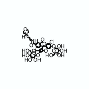 O=C(NCCNN1CCOCC1)c1ccc2c(c1)C(=O)OC21c2cc(Cl)c(O[C@H]3OC(CO)[C@@H](O)[C@@H](O)C3O)cc2Oc2cc(O[C@@H]3OC(CO)[C@H](O)C(O)[C@@H]3O)c(Cl)cc21